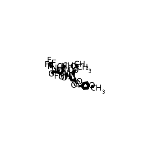 COc1ccc(CS(=O)(=O)[C@@H]2C[C@@H](C(=O)N[C@@H](C(C)C)[C@@H](O)C(F)(F)C(=O)NCC(F)(F)F)N(C(=O)OC(C)(C)C)C2)cc1